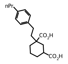 CCCc1ccc(CCC2(C(=O)O)CCCC(C(=O)O)C2)cc1